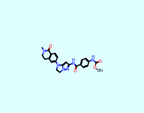 CN1CCc2cc(N3CCn4nc(NC(=O)c5ccc(NC(=O)OC(C)(C)C)cc5)cc43)ccc2C1=O